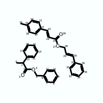 CC(C(=O)OCc1ccccc1)c1ccccc1.Cc1ccc(C=CC(=O)OCC=Cc2ccccc2)cc1